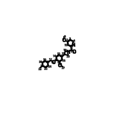 COc1ccnc(C(=O)N2CC(c3ccc(OCc4ccc(C)cc4)c(OC)c3)C2)c1